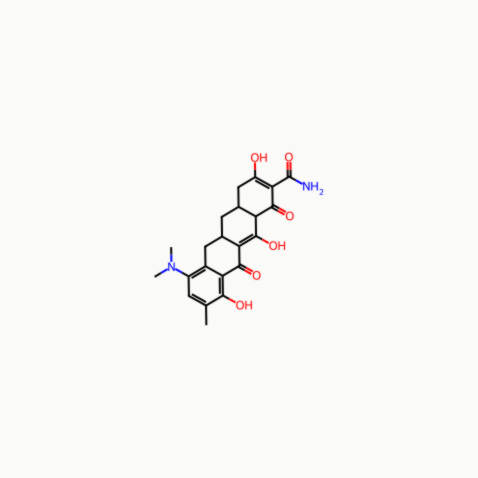 Cc1cc(N(C)C)c2c(c1O)C(=O)C1=C(O)C3C(=O)C(C(N)=O)=C(O)CC3CC1C2